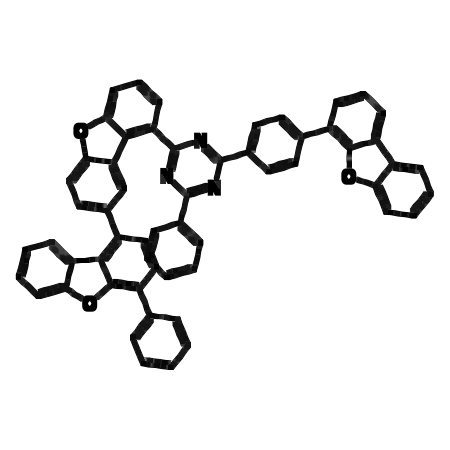 c1ccc(-c2nc(-c3ccc(-c4cccc5c4oc4ccccc45)cc3)nc(-c3cccc4oc5ccc(-c6ccc(-c7ccccc7)c7oc8ccccc8c67)cc5c34)n2)cc1